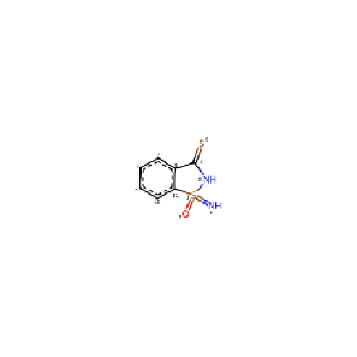 N=S1(=O)NC(=S)c2ccccc21